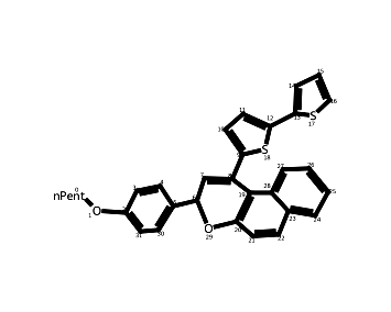 CCCCCOc1ccc(C2C=C(c3ccc(-c4cccs4)s3)c3c(ccc4ccccc34)O2)cc1